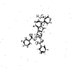 Cc1ccccc1-c1cccc2c1CC1C3CC(C(OC(=O)c4ccccc4)C3OC(=O)c3ccccc3)C21